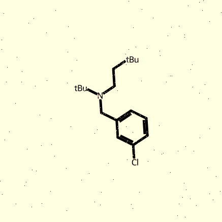 CC(C)(C)CCN(Cc1cccc(Cl)c1)C(C)(C)C